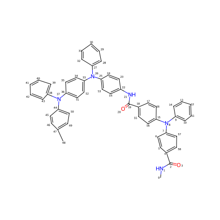 CNC(=O)c1ccc(N(c2ccccc2)c2ccc(C(=O)Nc3ccc(N(c4ccccc4)c4ccc(N(c5ccccc5)c5ccc(C)cc5)cc4)cc3)cc2)cc1